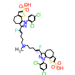 CN(CCC/C=C(\F)c1nn(-c2ccc(Cl)cc2Cl)c2c1CCCc1cc(S(=O)(=O)O)sc1-2)CCC/C=C(\F)c1nn(-c2ccc(Cl)cc2Cl)c2c1CCCc1cc(S(=O)(=O)O)sc1-2